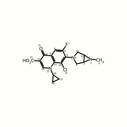 CN1C2CN(c3c(F)cc4c(=O)c(C(=O)O)cn(C5CC5)c4c3Cl)CC21